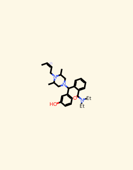 C/C=C\CN1C(C)CN(C(c2cccc(O)c2)c2ccccc2C(=O)N(CC)CC)CC1C